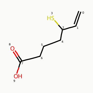 C=CC(S)CCCC(=O)O